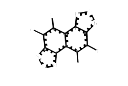 Fc1c(F)c2c3nonc3c(F)c(F)c2c2nonc12